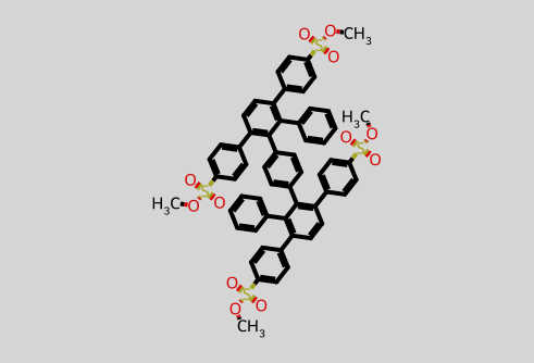 COS(=O)(=O)c1ccc(-c2ccc(-c3ccc(S(=O)(=O)OC)cc3)c(-c3ccc(-c4c(-c5ccc(S(=O)(=O)OC)cc5)ccc(-c5ccc(S(=O)(=O)OC)cc5)c4-c4ccccc4)cc3)c2-c2ccccc2)cc1